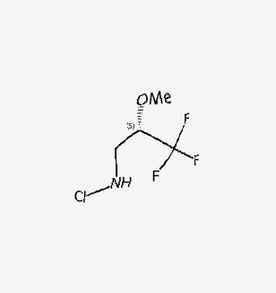 CO[C@@H](CNCl)C(F)(F)F